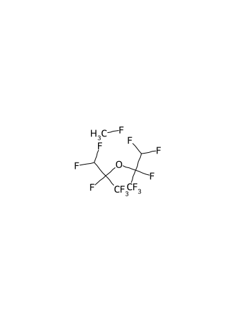 CF.FC(F)C(F)(OC(F)(C(F)F)C(F)(F)F)C(F)(F)F